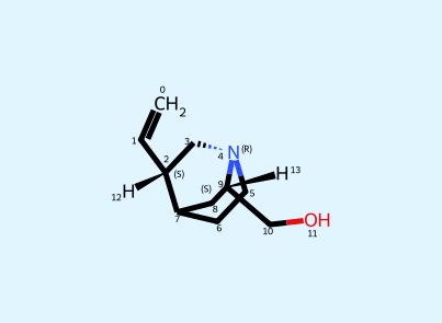 C=C[C@@H]1C[N@]2CCC1C[C@H]2CO